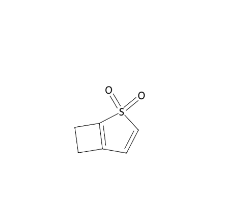 O=S1(=O)C=CC2=C1CC2